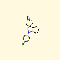 Fc1ccc(N2CC3(CCNCC3)c3ccccc32)cc1